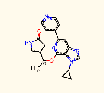 C[C@@H](Oc1nc(-c2ccncc2)cc2ncn(C3CC3)c12)C1CNC(=O)C1